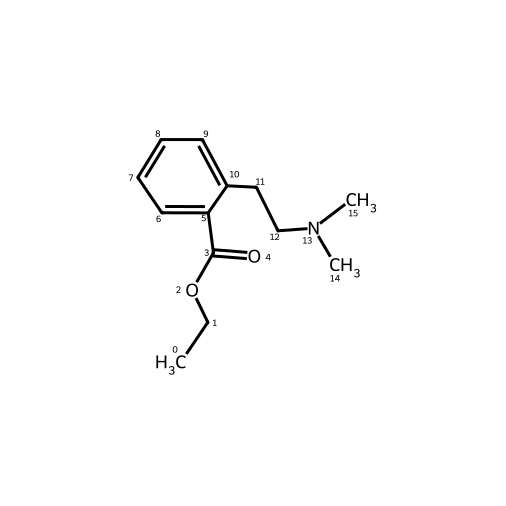 CCOC(=O)c1ccccc1CCN(C)C